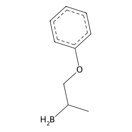 BC(C)COc1ccccc1